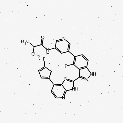 CC(C)C(=O)Nc1cncc(-c2ccc3[nH]nc(-c4nc5c(-c6ccc(F)s6)ccnc5[nH]4)c3c2F)c1